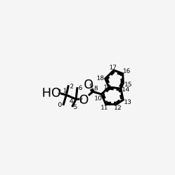 CC(C)(O)C(C)(C)OC(=O)c1cccc2ccccc12